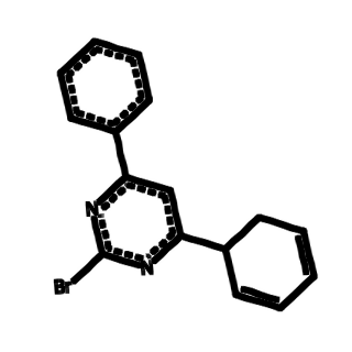 Brc1nc(-c2ccccc2)cc(C2C=CC=CC2)n1